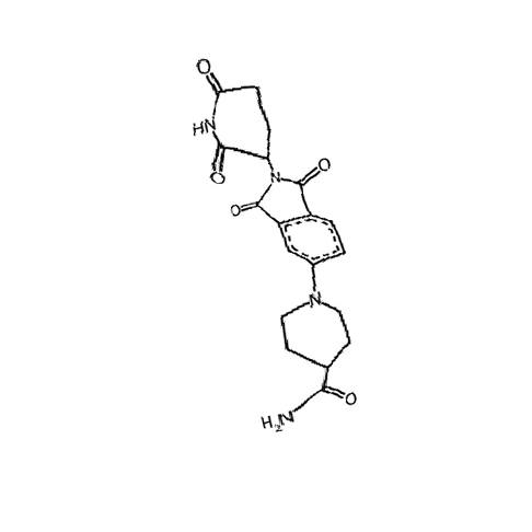 NC(=O)C1CCN(c2ccc3c(c2)C(=O)N(C2CCC(=O)NC2=O)C3=O)CC1